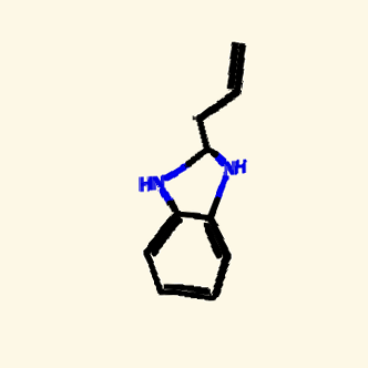 C=C[CH]C1Nc2ccccc2N1